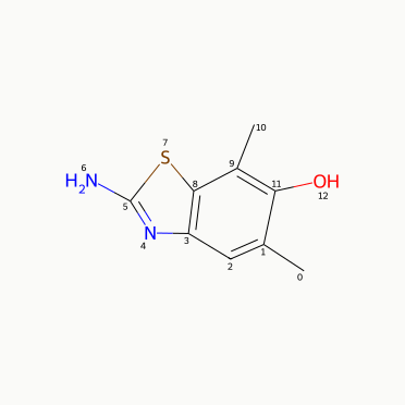 Cc1cc2nc(N)sc2c(C)c1O